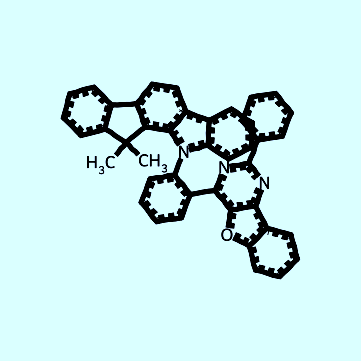 CC1(C)c2ccccc2-c2ccc3c4ccccc4n(-c4ccccc4-c4nc(-c5ccccc5)nc5c4oc4ccccc45)c3c21